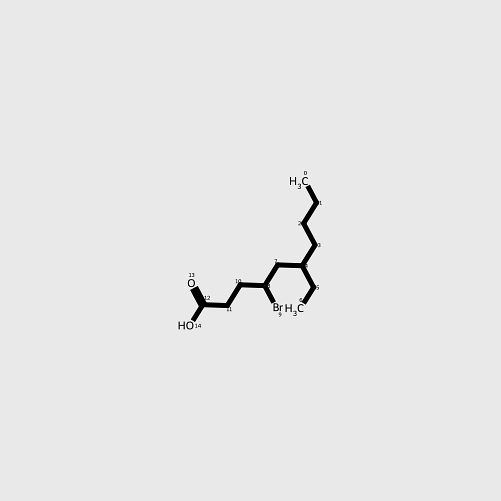 CCCCC(CC)CC(Br)CCC(=O)O